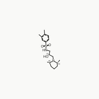 Cc1ccc(S(=O)(=O)NC[C@@H](O)CN2[C@H](C)CCC[C@@H]2C)cc1C